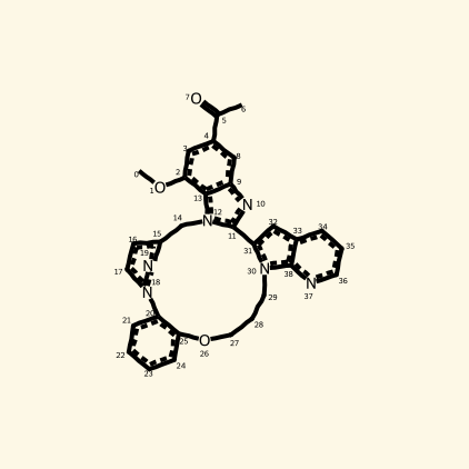 COc1cc(C(C)=O)cc2nc3n(c12)Cc1ccn(n1)-c1ccccc1OCCCn1c-3cc2cccnc21